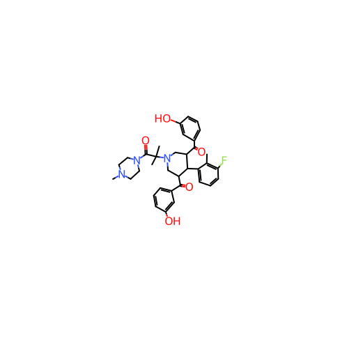 Cc1c(F)cccc1C1C(C(=O)c2cccc(O)c2)CN(C(C)(C)C(=O)N2CCN(C)CC2)CC1C(=O)c1cccc(O)c1